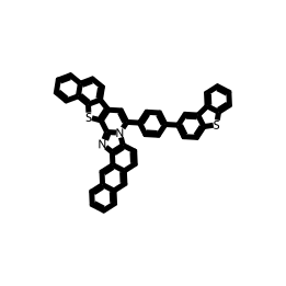 c1ccc2cc3c(ccc4c3nc3c5sc6c7ccccc7ccc6c5cc(-c5ccc(-c6ccc7sc8ccccc8c7c6)cc5)n43)cc2c1